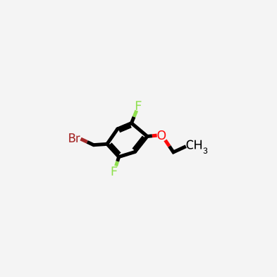 CCOc1cc(F)c(CBr)cc1F